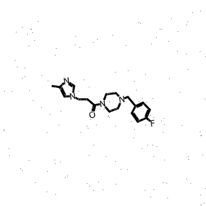 Cc1cn(CCC(=O)N2CCN(Cc3ccc(F)cc3)CC2)cn1